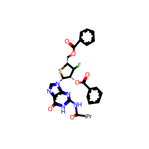 CC(C)C(=O)Nc1nc2c(ncn2[C@@H]2S[C@H](COC(=O)c3ccccc3)C(F)[C@@H]2OC(=O)c2ccccc2)c(=O)[nH]1